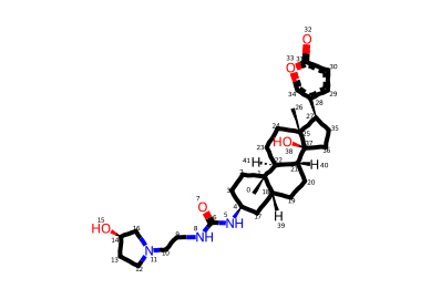 C[C@]12CC[C@H](NC(=O)NCCN3CC[C@@H](O)C3)C[C@H]1CC[C@@H]1[C@@H]2CC[C@]2(C)[C@@H](c3ccc(=O)oc3)CC[C@]12O